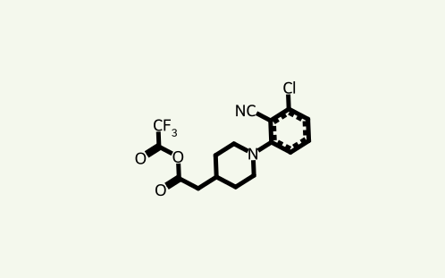 N#Cc1c(Cl)cccc1N1CCC(CC(=O)OC(=O)C(F)(F)F)CC1